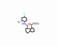 CNC(=O)c1cccc2cccc(C(=O)Nc3ccc(F)cc3Br)c12